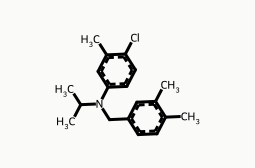 Cc1ccc(CN(c2ccc(Cl)c(C)c2)C(C)C)cc1C